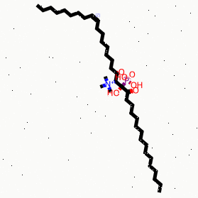 CCCCCCCC/C=C\CCCCCCCC(=O)C(C(O)(C(=O)CCCCCCCCCCCCCCC)P(=O)(O)O)[N+](C)(C)C